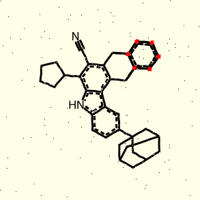 N#Cc1c2c(c3c([nH]c4ccc(C56CC7CC(CC(C7)C5)C6)cc43)c1C1CCCC1)C1c3ccccc3C2c2ccccc21